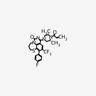 C=CC(=O)N1[C@H](C)CN(c2nc(=O)n3c4c(c(-c5ccc(F)cc5)c(C(F)(F)F)cc24)SCCC3)C[C@@H]1C